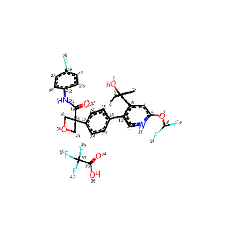 CC(C)(O)c1cc(OC(F)F)ncc1-c1ccc(C2(C(=O)Nc3ccc(F)cc3)COC2)cc1.O=C(O)C(F)(F)F